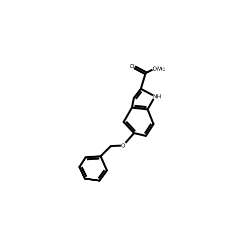 COC(=O)c1cc2cc(OCc3ccccc3)ccc2[nH]1